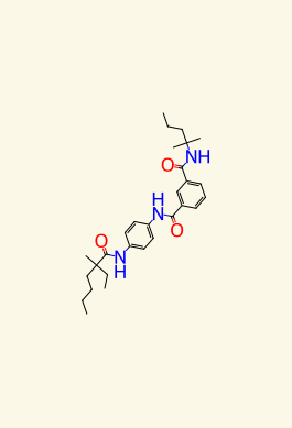 CCCCC(C)(CC)C(=O)Nc1ccc(NC(=O)c2cccc(C(=O)NC(C)(C)CCC)c2)cc1